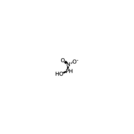 O=[N+]([O-])PO